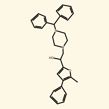 Cc1oc(C(O)CN2CCN(C(c3ccccc3)c3ccccc3)CC2)cc1-c1ccccc1